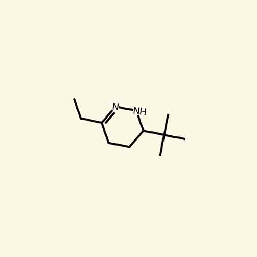 CCC1=NNC(C(C)(C)C)CC1